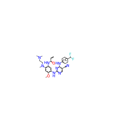 C=CC(=O)Nc1cc(Nc2ncc(C#N)c(NC34CCC(C(F)F)(CC3)CC4)n2)c(OC)cc1N(C)CCN(C)C